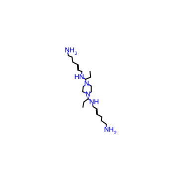 CCC(NC/C=C/CCCN)N1CCN(C(CC)NC/C=C/CCCN)CC1